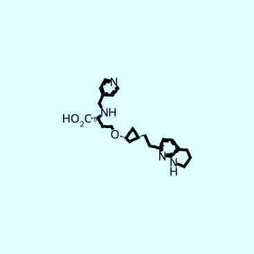 O=C(O)[C@@H](CCO[C@H]1C[C@@H](CCc2ccc3c(n2)NCCC3)C1)NCc1ccncc1